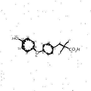 O=C(O)C(I)(I)Cc1ccc(Oc2ccc(O)cc2)cc1